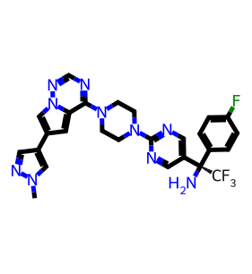 Cn1cc(-c2cc3c(N4CCN(c5ncc([C@@](N)(c6ccc(F)cc6)C(F)(F)F)cn5)CC4)ncnn3c2)cn1